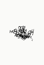 CC(C)[C@H](N)C(=O)O.N[C@@H](CC(=O)O)C(=O)O.N[C@@H](CC(=O)O)C(=O)O.N[C@@H](CCC(=O)O)C(=O)O